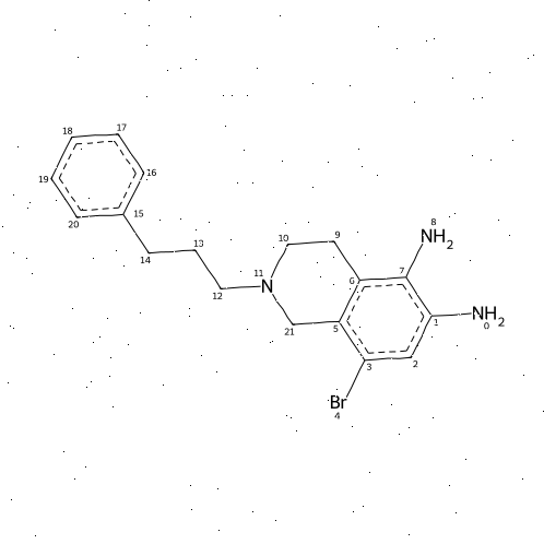 Nc1cc(Br)c2c(c1N)CCN(CCCc1ccccc1)C2